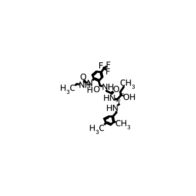 CCC[C@@H](O)[C@H](CNCc1ccc(C)cc1C)NC(=O)CNC(=O)c1cc(C(F)(F)F)ccc1NC(=O)NCC